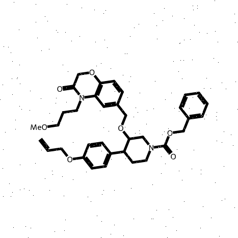 C=CCOc1ccc(C2CCN(C(=O)OCc3ccccc3)CC2OCc2ccc3c(c2)N(CCCOC)C(=O)CO3)cc1